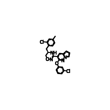 Cc1ccc(C[C@@H]2CON=C(c3cc4cccn4nc3Oc3cccc(Cl)c3)N2)c(Cl)c1